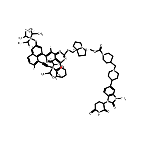 CC(C)[Si](C#Cc1c(F)ccc2cc(O[Si](C(C)C)(C(C)C)C(C)C)cc(-c3ncc4c(N5CCCCC5)nc(OC[C@@]56CCCN5[C@H](COC(=O)N5CCC(CN7CCC(c8ccc9c(c8)n(C)c(=O)n9C8CCC(=O)NC8=O)CC7)CC5)CC6)nc4c3F)c12)(C(C)C)C(C)C